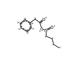 CCCCS(=O)OC(=O)Cc1ccccc1